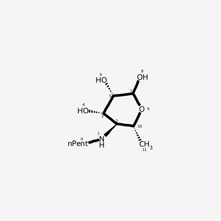 CCCCCN[C@H]1[C@H](O)[C@H](O)C(O)O[C@@H]1C